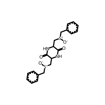 O=C1NC(C[S+]([O-])Cc2ccccc2)C(=O)NC1C[S+]([O-])Cc1ccccc1